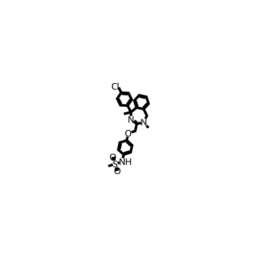 CN1Cc2ccccc2C(C)(c2ccc(Cl)cc2)N=C1COc1ccc(NS(C)(=O)=O)cc1